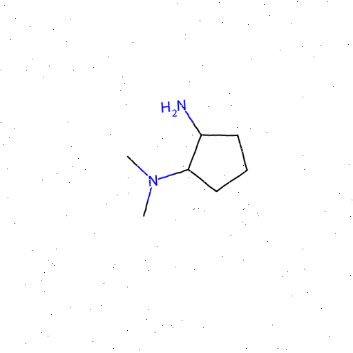 CN(C)C1CCCC1N